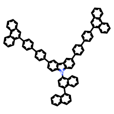 c1ccc2c(-c3ccc(-n4c5ccc(-c6ccc(-c7ccc(-c8cc9ccccc9c9ccccc89)cc7)cc6)cc5c5cc(-c6ccc(-c7ccc(-c8cc9ccccc9c9ccccc89)cc7)cc6)ccc54)c4ccccc34)cccc2c1